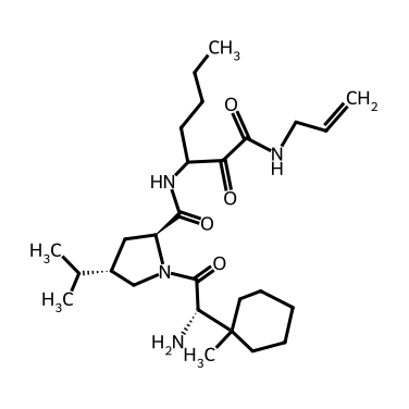 C=CCNC(=O)C(=O)C(CCCC)NC(=O)[C@@H]1C[C@@H](C(C)C)CN1C(=O)[C@@H](N)C1(C)CCCCC1